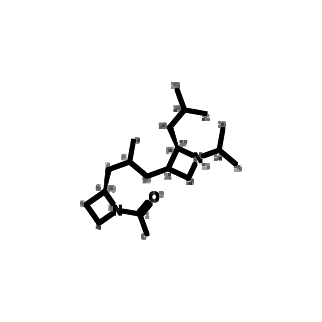 CC(=O)N1CC[C@H]1CC(C)CC1CN(C(C)C)[C@@H]1CC(C)C